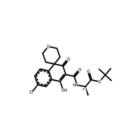 C[C@@H](NC(=O)C1=C(O)c2cc(Cl)ccc2C2(CCOCC2)C1=O)C(=O)OC(C)(C)C